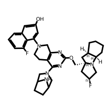 Oc1cc(N2CCc3c(nc(OC[C@@]45C[C@H](F)CN4[C@@H]4CCCC[C@@H]4C5)nc3N3CC4CCC(C3)N4)C2)c2c(F)cccc2c1